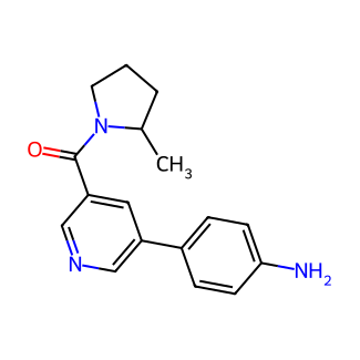 CC1CCCN1C(=O)c1cncc(-c2ccc(N)cc2)c1